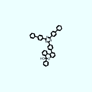 OC1(c2ccccc2)Oc2cccc(-c3ccc(-c4nc(-c5ccc(C6=CCCC=C6)cc5)nc(-c5ccc(-c6ccccc6)cc5)n4)cc3)c2-c2ccccc21